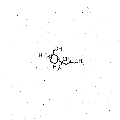 CCCCC(C)(C)N1CCN(C)C(CO)C1